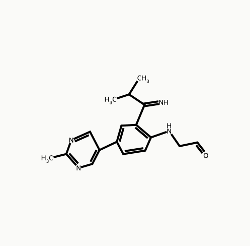 Cc1ncc(-c2ccc(NCC=O)c(C(=N)C(C)C)c2)cn1